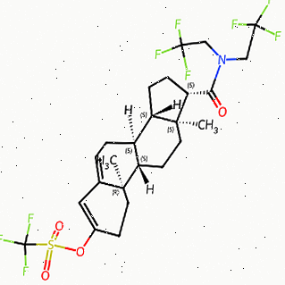 C[C@]12CC[C@H]3[C@@H](CC=C4C=C(OS(=O)(=O)C(F)(F)F)CC[C@@]43C)[C@@H]1CC[C@@H]2C(=O)N(CC(F)(F)F)CC(F)(F)F